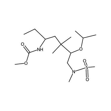 CCC(CC(C)(C)C(CN(C)S(C)(=O)=O)OC(C)C)NC(=O)OC